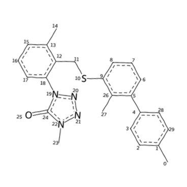 Cc1ccc(-c2cccc(SCc3c(C)cccc3-n3nnn(C)c3=O)c2C)cc1